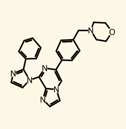 c1ccc(-c2nccn2-c2nc(-c3ccc(CN4CCOCC4)cc3)cn3ccnc23)cc1